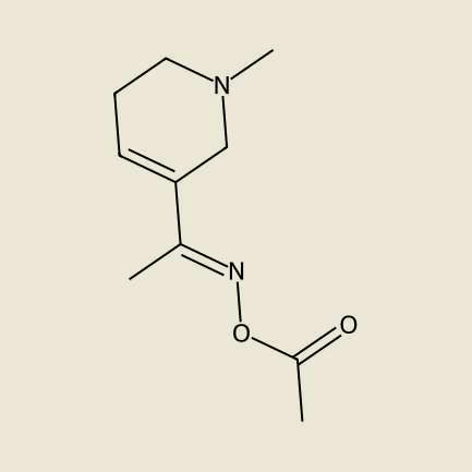 CC(=O)ON=C(C)C1=CCCN(C)C1